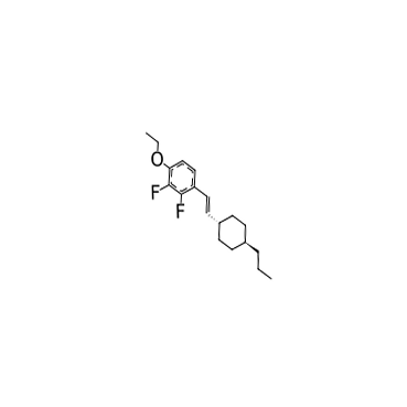 CCC[C@H]1CC[C@H](C=Cc2ccc(OCC)c(F)c2F)CC1